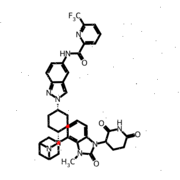 Cn1c(=O)n(C2CCC(=O)NC2=O)c2cccc(N3CC4CC(C3)N4C[C@H]3CC[C@@H](n4cc5cc(NC(=O)c6cccc(C(F)(F)F)n6)ccc5n4)CC3)c21